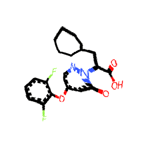 O=C(O)C(CC1CCCCC1)n1ncc(Oc2c(F)cccc2F)cc1=O